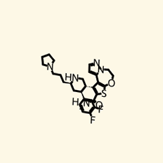 NC(=O)c1sc2c(c1[C@H]1CN[C@H](CCCN3CCCC3)C[C@@H]1c1ccc(F)c(F)c1)-c1ccnn1CCO2